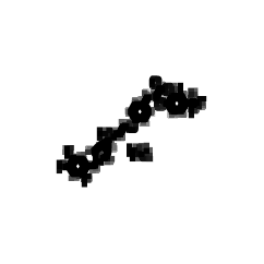 Cl.Cl.O=C(O)[C@H](Cc1ccc(OCCNC2C3CN(Cc4cc(F)c(F)cc4F)CC32)cc1)Oc1ccc(C(F)(F)F)cc1